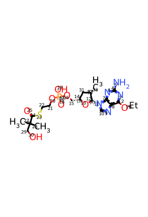 CCOc1nc(N)nc2c1ncn2[C@@H]1O[C@H](CO[P@](=O)(O)OCCSC(=O)C(C)(C)CO)C[C@@H]1C